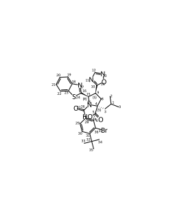 CC(C)C[C@@]1(C(=O)O)C[C@H](c2ncno2)[C@H](c2nc3ccccc3s2)N1C(=O)c1ccc(C(C)(C)C)c(Br)c1